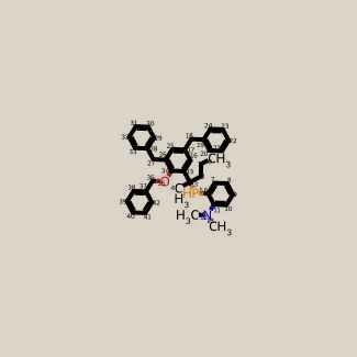 CCCC(C)(Pc1ccccc1N(C)C)c1cc(Cc2ccccc2)cc(Cc2ccccc2)c1OCc1ccccc1